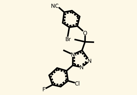 Cn1c(-c2ccc(F)cc2Cl)nnc1C(C)(C)Oc1ccc(C#N)cc1Br